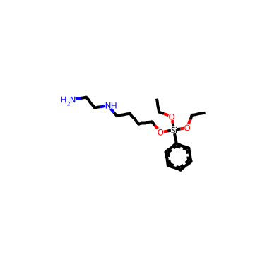 CCO[Si](OCC)(OCCCCNCCN)c1ccccc1